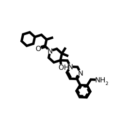 CC(CC1CCCCC1)C(=O)N1CCC(O)(CN2C=CC(c3ccccc3CN)=NC2)C(C)(C)C1